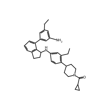 C[CH]c1cc(N)cc(-c2cccc3c2C(Nc2ccc(C4CCN(C(=O)C5CC5)CC4)c(CC)c2)CC3)c1